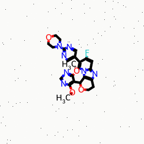 COc1ncnc(OC)c1C1OCCc2nc3cc(F)c(-c4cnc(N5CCOCC5)nc4)cn3c21